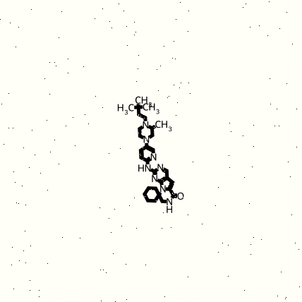 CC1CN(c2ccc(Nc3ncc4cc5n(c4n3)C3(CCCCC3)CNC5=O)nc2)CCN1CCC(C)(C)C